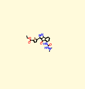 CCOC(=O)c1ccc(C2=C3C(=O)c4c(NC(=O)NN(C)C)cccc4C3N=N2)s1